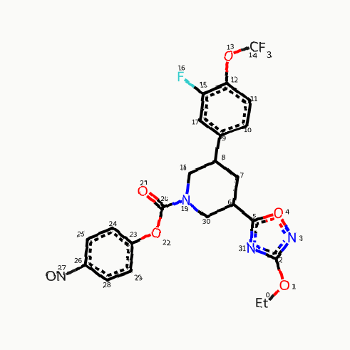 CCOc1noc(C2CC(c3ccc(OC(F)(F)F)c(F)c3)CN(C(=O)Oc3ccc(N=O)cc3)C2)n1